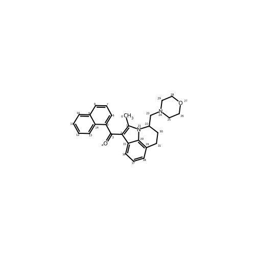 Cc1c(C(=O)c2cccc3ccccc23)c2cccc3c2n1C(CN1CCOCC1)CC3